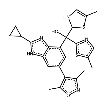 CC1=CNC(C(O)(c2ncc(C)s2)c2cc(-c3c(C)noc3C)cc3[nH]c(C4CC4)nc23)S1